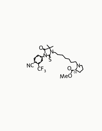 COC(=O)[C@@H]1CCCN1CCCCCCCN1C(=S)N(c2ccc(C#N)c(C(F)(F)F)c2)C(=O)C1(C)C